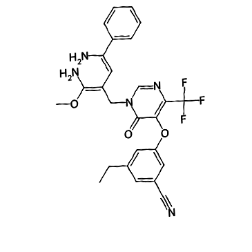 CCc1cc(C#N)cc(Oc2c(C(F)(F)F)ncn(CC(/C=C(\N)c3ccccc3)=C(/N)OC)c2=O)c1